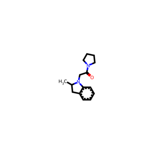 CC1Cc2ccccc2N1CC(=O)N1CCCC1